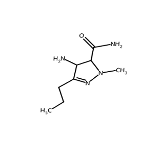 CCCC1=NN(C)C(C(N)=O)C1N